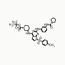 Cc1ccc(S(=O)(=O)n2ccc3c(N[C@@H]4CCCN(C(=O)OC(C)(C)C)C4)nc(Nc4cccc(NC(=O)N5CCCC5)c4)nc32)cc1